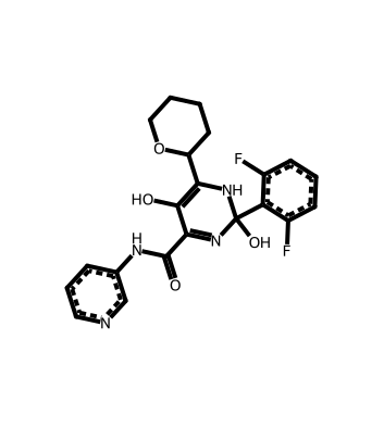 O=C(Nc1cccnc1)C1=NC(O)(c2c(F)cccc2F)NC(C2CCCCO2)=C1O